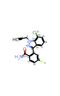 C#CCn1nc(-c2cc(F)ccc2C(N)=O)c2cccc(Cl)c21